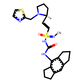 C[C@@]1(/C=C/S(=O)(=NC#N)NC(=O)Nc2c3c(cc4c2CCC4)CCC3)CCCN1Cc1nccs1